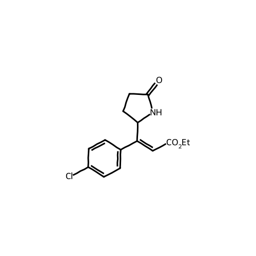 CCOC(=O)C=C(c1ccc(Cl)cc1)C1CCC(=O)N1